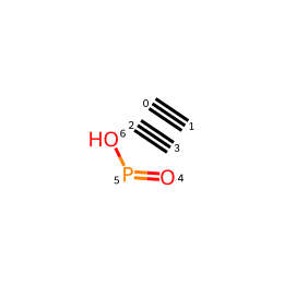 C#C.C#C.O=PO